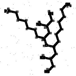 CCCCCCCC(CC(O)CO)OC(CCCCCCC)CC(O)CO